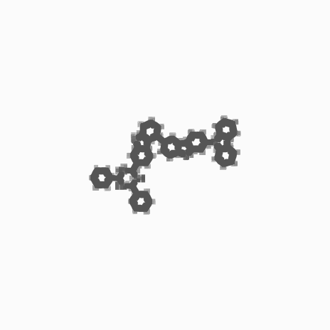 c1ccc(C2NC(c3ccccc3)NC(c3ccc4c(c3)oc3cccc(-c5ccc6sc7cc(-n8c9ccccc9c9ccccc98)ccc7c6c5)c34)N2)cc1